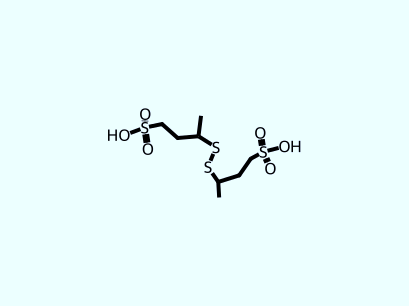 CC(CCS(=O)(=O)O)SSC(C)CCS(=O)(=O)O